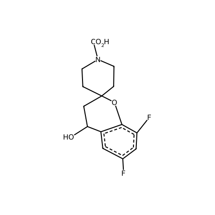 O=C(O)N1CCC2(CC1)CC(O)c1cc(F)cc(F)c1O2